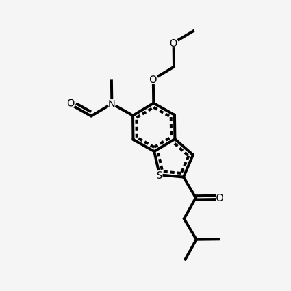 COCOc1cc2cc(C(=O)CC(C)C)sc2cc1N(C)C=O